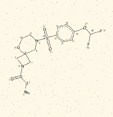 CC(C)(C)OC(=O)N1CC2(C1)CN(S(=O)(=O)c1ccc(OC(F)F)cc1)CCO2